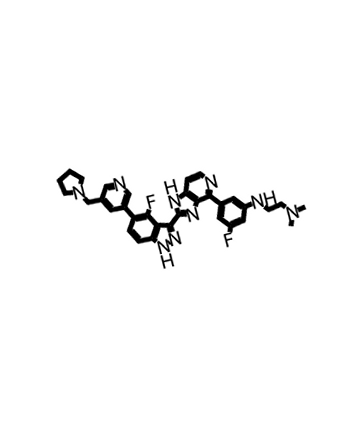 CN(C)CCNc1cc(F)cc(-c2nccc3[nH]c(-c4n[nH]c5ccc(-c6cncc(CN7CCCC7)c6)c(F)c45)nc23)c1